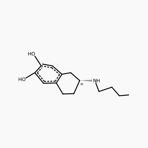 CCCCN[C@@H]1CCc2cc(O)c(O)cc2C1